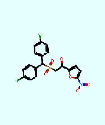 O=C(CS(=O)(=O)C(c1ccc(Cl)cc1)c1ccc(Cl)cc1)c1ccc([N+](=O)[O-])o1